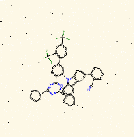 N#Cc1ccccc1-c1ccc2c(c1)c1ccccc1n2-c1cc(-c2ccc(C(F)(F)F)cc2C(F)(F)F)ccc1-c1nc(-c2ccccc2)nc(-c2ccccc2)n1